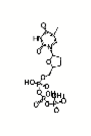 COP(=O)(O)OP(=O)(O)OP(=O)(O)OC[C@@H]1CC[C@H](n2cc(C)c(=O)[nH]c2=O)O1